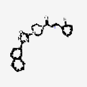 O=C(/C=C/c1ccccc1F)N1CCN(c2nc(-c3ccc4ccccc4c3)no2)CC1